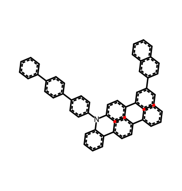 c1ccc(-c2ccc(-c3ccc(N(c4ccc(-c5cccc(-c6ccc7ccccc7c6)c5)cc4)c4ccccc4-c4ccc(-c5ccccc5)cc4)cc3)cc2)cc1